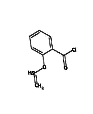 C=[SiH]Oc1ccccc1C(=O)Cl